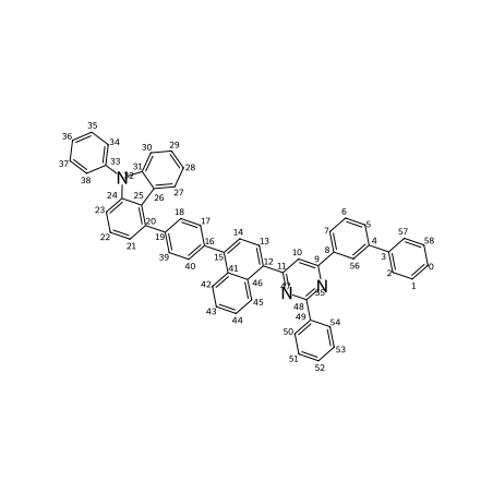 c1ccc(-c2cccc(-c3cc(-c4ccc(-c5ccc(-c6cccc7c6c6ccccc6n7-c6ccccc6)cc5)c5ccccc45)nc(-c4ccccc4)n3)c2)cc1